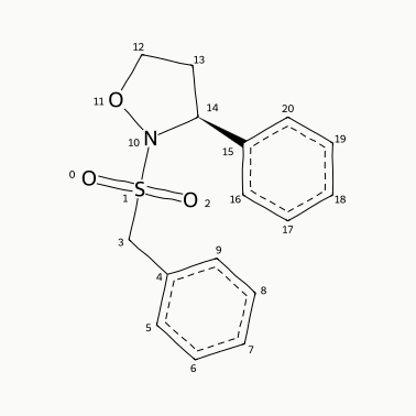 O=S(=O)(Cc1ccccc1)N1OCC[C@H]1c1ccccc1